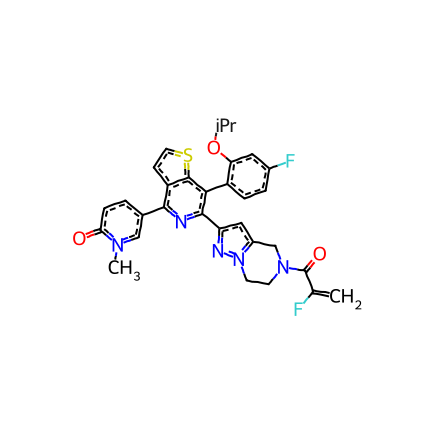 C=C(F)C(=O)N1CCn2nc(-c3nc(-c4ccc(=O)n(C)c4)c4ccsc4c3-c3ccc(F)cc3OC(C)C)cc2C1